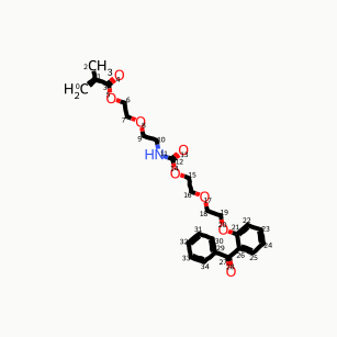 C=C(C)C(=O)OCCOCCNC(=O)OCCOCCOc1ccccc1C(=O)c1ccccc1